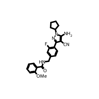 COc1ccccc1C(=O)NCc1ccc(-c2nn(C3CCCC3)c(N)c2C#N)c(F)c1